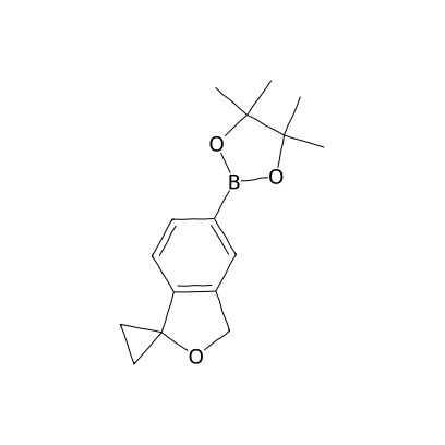 CC1(C)OB(c2ccc3c(c2)COC32CC2)OC1(C)C